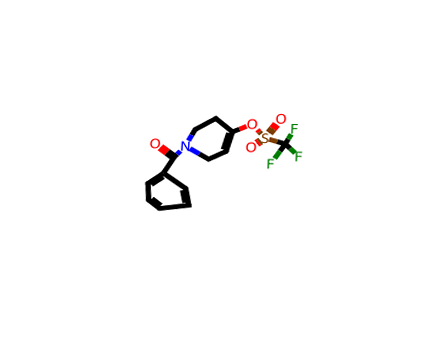 O=C(c1ccccc1)N1CC=C(OS(=O)(=O)C(F)(F)F)CC1